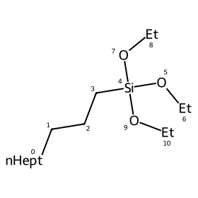 CCCCCCCCCC[Si](OCC)(OCC)OCC